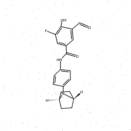 O=Cc1cc(C(=O)Nc2ccc(N3[C@H]4CC[C@H]3CC4)cc2)cc(F)c1O